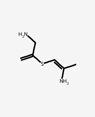 C=C(CN)S/C=C(/C)N